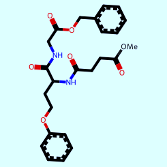 COC(=O)CCC(=O)NC(CCOc1ccccc1)C(=O)NCC(=O)OCc1ccccc1